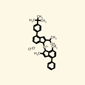 CC1=Cc2c(-c3ccccc3)ccc(C)c2[CH]1[Zr+2][CH]1C(C(C)C)=Cc2c(-c3ccc(C(C)(C)C)cc3)cccc21.[Cl-].[Cl-]